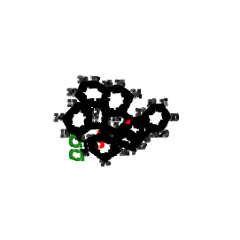 [Cl][Ti]([Cl])[O]C(c1ccccc1)(c1ccccc1)c1c(C2C(c3ccccc3)=Cc3ccccc32)ccc2ccccc12